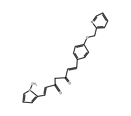 Cn1cccc1C=CC(=O)CC(=O)C=Cc1ccc(OCc2ccccn2)cc1